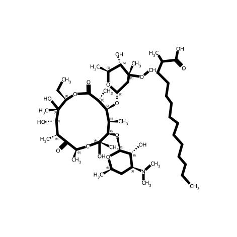 CCCCCCCCCCCCC(C)C(=O)O.CC[C@H]1OC(=O)[C@H](C)[C@@H](O[C@H]2C[C@@](C)(OC)[C@@H](O)[C@H](C)O2)[C@@H](C)[C@@H](O[C@@H]2O[C@H](C)C[C@H](N(C)C)[C@H]2O)[C@](C)(O)C[C@@H](C)C(=O)[C@H](C)[C@H](O)[C@]1(C)O